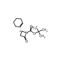 CC(C)(C)OC(=O)N1C(=O)C[C@@H]1C1=CCCCC1